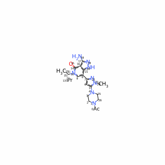 CC(=O)N1CCN(c2cc(-c3cn([C@@H](C)C(C)C)c(=O)c4c(N)n[nH]c34)nn2C)CC1